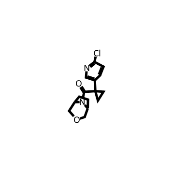 O=C(N1C2CCC1COC2)C1(c2ccc(Cl)nc2)CC1